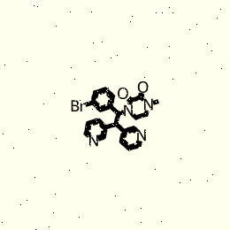 CN1CCN(C(c2cccc(Br)c2)C(c2cccnc2)c2cccnc2)C(=O)C1=O